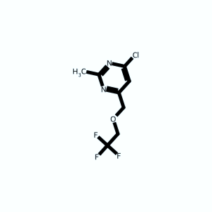 Cc1nc(Cl)cc(COCC(F)(F)F)n1